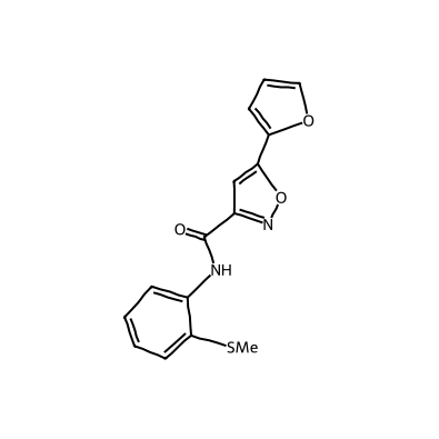 CSc1ccccc1NC(=O)c1cc(-c2ccco2)on1